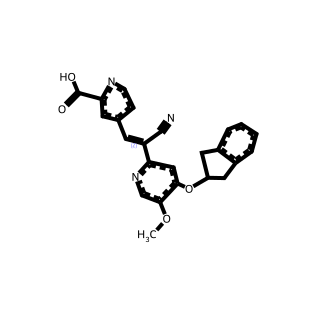 COc1cnc(/C(C#N)=C/c2ccnc(C(=O)O)c2)cc1OC1Cc2ccccc2C1